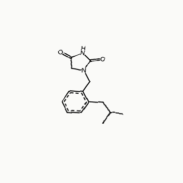 CC(C)Cc1ccccc1CN1CC(=O)NC1=O